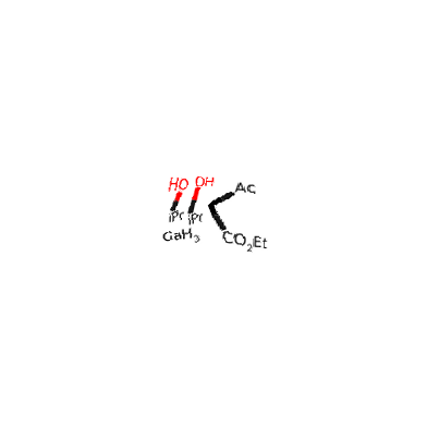 CC(C)O.CC(C)O.CCOC(=O)CC(C)=O.[GaH3]